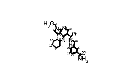 CCn1ncc2c(NC3CCCCC3)c(C(=O)NCc3cccc(C(N)=O)c3)cnc21